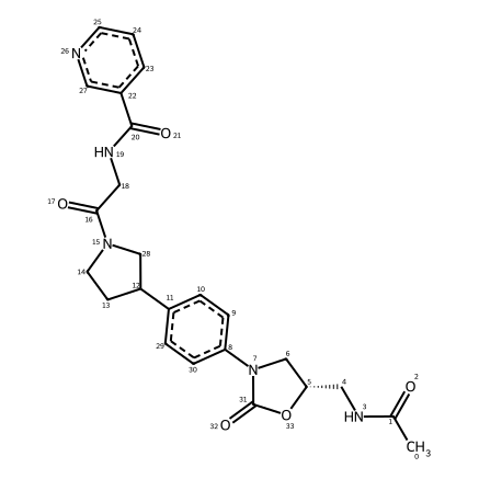 CC(=O)NC[C@H]1CN(c2ccc(C3CCN(C(=O)CNC(=O)c4cccnc4)C3)cc2)C(=O)O1